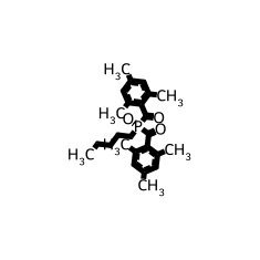 CCCCCP(=O)(C(=O)c1c(C)cc(C)cc1C)C(=O)c1c(C)cc(C)cc1C